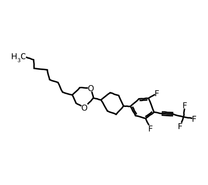 CCCCCCCC1COC(C2CCC(c3cc(F)c(C#CC(F)(F)F)c(F)c3)CC2)OC1